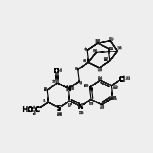 O=C(O)C1CC(=O)N(CCC23CC4CC(C2)C(C4)C3)/C(=N\c2ccc(Cl)cc2)S1